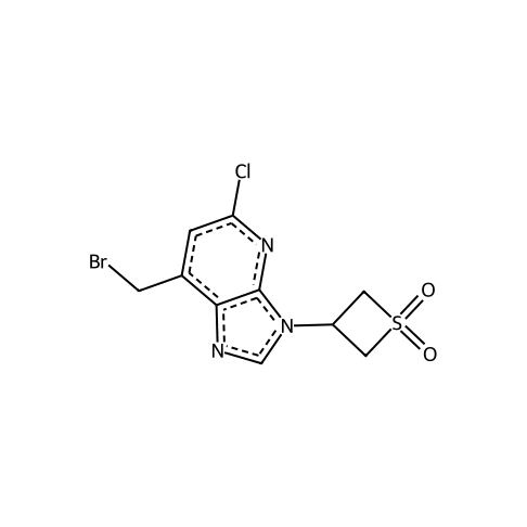 O=S1(=O)CC(n2cnc3c(CBr)cc(Cl)nc32)C1